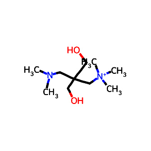 CN(C)CC(CO)(CO)C[N+](C)(C)C